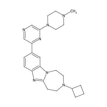 CN1CCN(c2cncc(-c3ccc4nc5n(c4c3)CCN(C3CCC3)CC5)n2)CC1